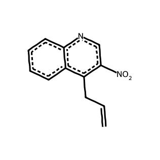 C=CCc1c([N+](=O)[O-])cnc2ccccc12